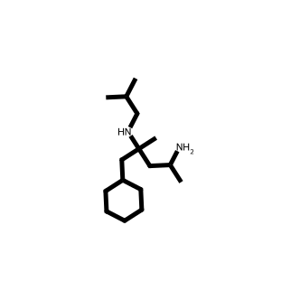 CC(C)CNC(C)(CC(C)N)CC1CCCCC1